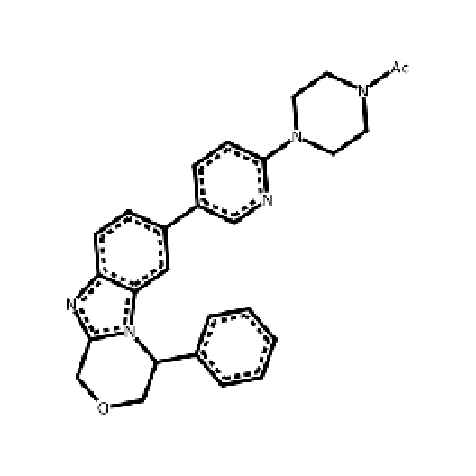 CC(=O)N1CCN(c2ccc(-c3ccc4nc5n(c4c3)C(c3ccccc3)COC5)cn2)CC1